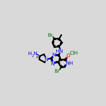 Cc1cc(Nc2nc(N3CC[C@@H](N)C3)nc3c(Br)c[nH]c(=O)c23)ccc1Br.Cl